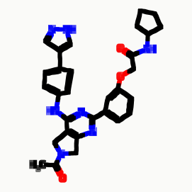 CC(=O)N1Cc2nc(-c3cccc(OCC(=O)NC4CCCC4)c3)nc(Nc3ccc(-c4cn[nH]c4)cc3)c2C1